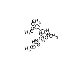 COCC(=O)NCCNc1nc(-c2ccc(OC)c(OC)c2)cc2ncn(C)c(=O)c12